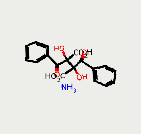 N.O=C(O)C(O)(C(=O)c1ccccc1)C(O)(C(=O)O)C(=O)c1ccccc1